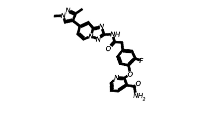 Cc1nn(C)cc1-c1ccn2nc(NC(=O)Cc3ccc(Oc4ncccc4C(N)=O)c(F)c3)nc2c1